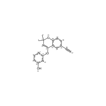 CC1(C)N=C(Oc2nccc(O)n2)c2cc(C#N)ccc2O1